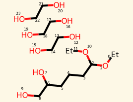 CCOC(CCCC(O)CO)OCC.OCCO.OCCO.OCCO